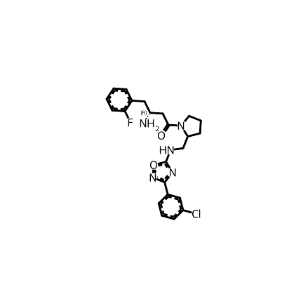 N[C@@H](CC(=O)N1CCCC1CNc1nc(-c2cccc(Cl)c2)no1)Cc1ccccc1F